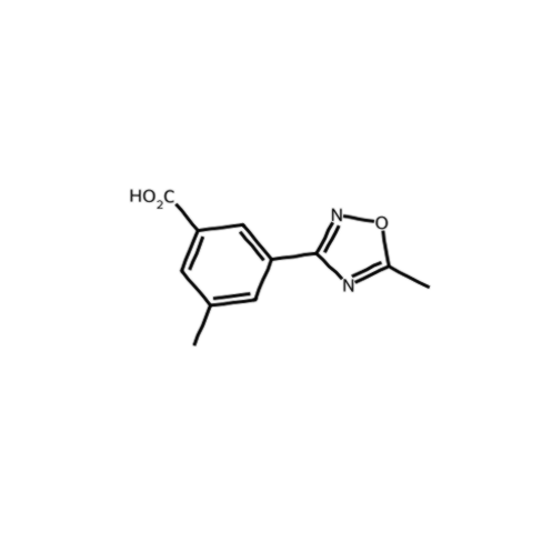 Cc1cc(C(=O)O)cc(-c2noc(C)n2)c1